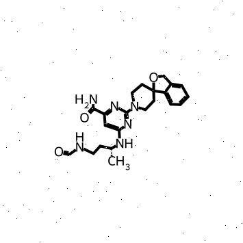 C[C@H](CCNC=O)Nc1cc(C(N)=O)nc(N2CCC3(CC2)OCc2ccccc23)n1